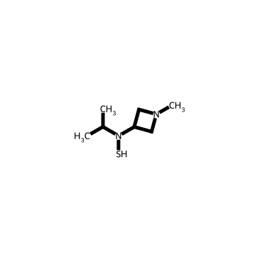 CC(C)N(S)C1CN(C)C1